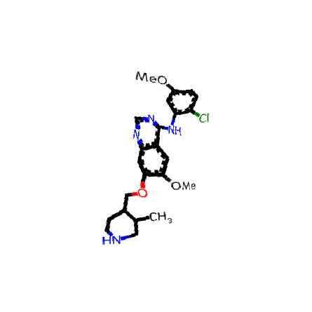 COc1ccc(Cl)c(Nc2ncnc3cc(OCC4CCNCC4C)c(OC)cc23)c1